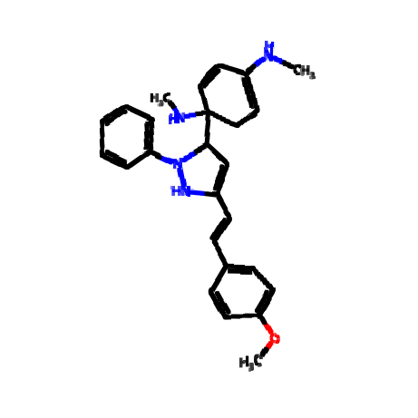 CNC1=CCC(NC)(C2C=C(C=Cc3ccc(OC)cc3)NN2c2ccccc2)C=C1